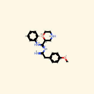 COc1ccc(CC(=N)/N=C(\Nc2ccccc2)C2CNCCO2)cc1